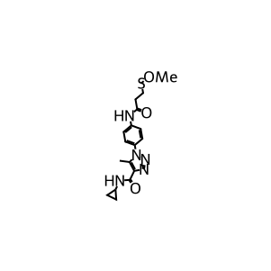 COSCCC(=O)Nc1ccc(-n2nnc(C(=O)NC3CC3)c2C)cc1